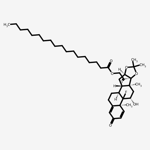 CCCCCCCCCCCCCCCCCC(=O)OCC(=O)[C@@]12OC(C)(C)O[C@@H]1C[C@H]1[C@@H]3CCC4=CC(=O)C=C[C@]4(C)C3(F)[C@@H](O)C[C@@]12C